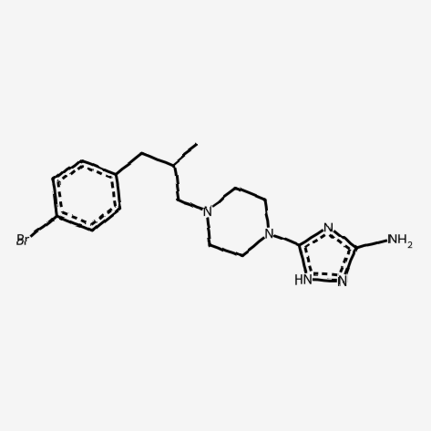 CC(Cc1ccc(Br)cc1)CN1CCN(c2nc(N)n[nH]2)CC1